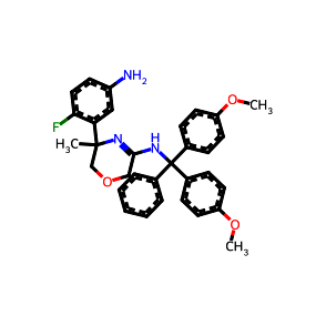 COc1ccc(C(NC2=NC(C)(c3cc(N)ccc3F)COC2)(c2ccccc2)c2ccc(OC)cc2)cc1